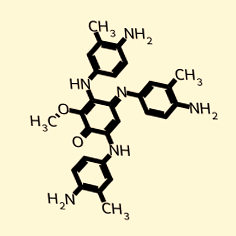 COC1=C(Nc2ccc(N)c(C)c2)C(=Nc2ccc(N)c(C)c2)C=C(Nc2ccc(N)c(C)c2)C1=O